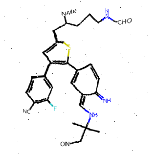 CNC(CCCNC=O)Cc1cc(-c2ccc(C#N)c(F)c2)c(C2=C/C(=C/NC(C)(C)CN=O)C(=N)C=C2)s1